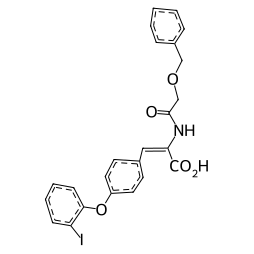 O=C(COCc1ccccc1)NC(=Cc1ccc(Oc2ccccc2I)cc1)C(=O)O